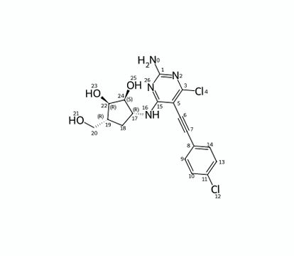 Nc1nc(Cl)c(C#Cc2ccc(Cl)cc2)c(N[C@@H]2C[C@H](CO)[C@@H](O)[C@H]2O)n1